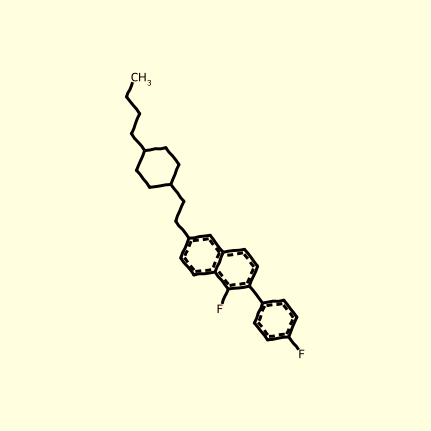 CCCCC1CCC(CCc2ccc3c(F)c(-c4ccc(F)cc4)ccc3c2)CC1